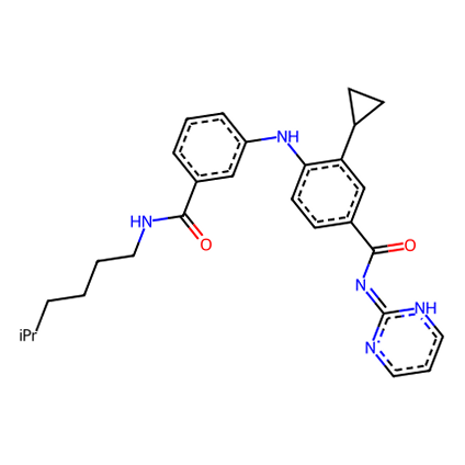 CC(C)CCCCNC(=O)c1cccc(Nc2ccc(C(=O)N=c3nccc[nH]3)cc2C2CC2)c1